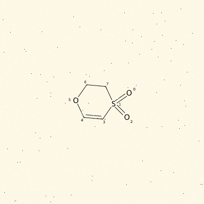 O=S1(=O)[C]=COCC1